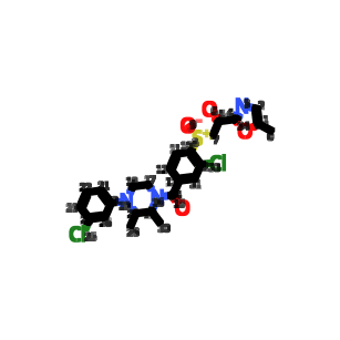 Cc1cnc(C(=O)C[S+]([O-])c2ccc(C(=O)N3CCN(c4cccc(Cl)c4)C(C)C3C)cc2Cl)o1